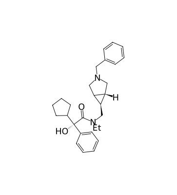 CCN(C[C@H]1C2CN(Cc3ccccc3)C[C@@H]21)C(=O)[C@@](O)(c1ccccc1)C1CCCC1